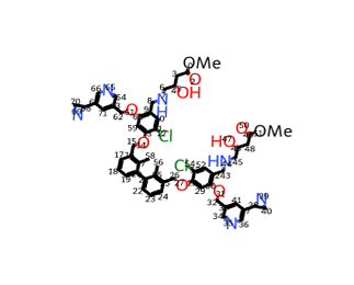 COC(=O)CC(O)CNCc1cc(Cl)c(OCc2cccc(-c3cccc(COc4cc(OCc5cncc(C6=NC6)c5)c(CNCC(O)CC(=O)OC)cc4Cl)c3C)c2C)cc1OCc1cncc(C2=NC2)c1